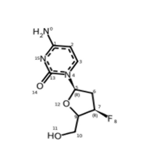 Nc1ccn([C@H]2C[C@@H](F)C(CO)O2)c(=O)n1